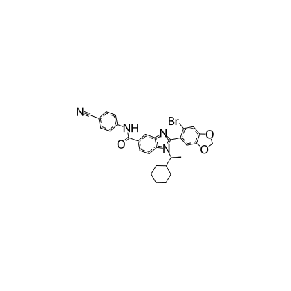 C[C@@H](C1CCCCC1)n1c(-c2cc3c(cc2Br)OCO3)nc2cc(C(=O)Nc3ccc(C#N)cc3)ccc21